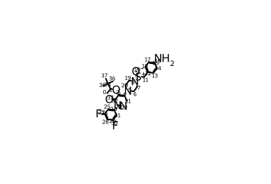 CC(Oc1c(N2CCN([S+]([O-])Cc3ccc(N)cc3)CC2)cnn(-c2cc(F)cc(F)c2)c1=O)C(C)(C)C